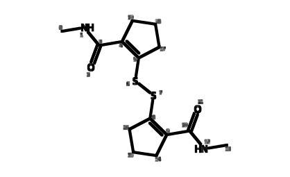 CNC(=O)C1=C(SSC2=C(C(=O)NC)CCC2)CCC1